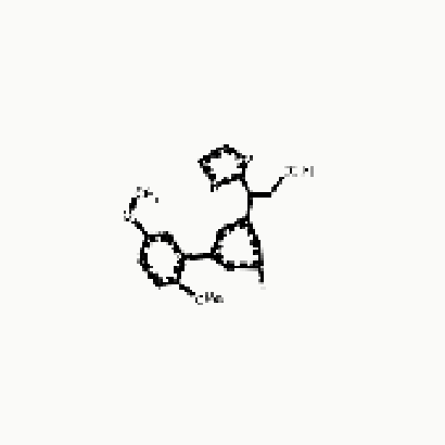 COc1ccc(OC(F)(F)F)cc1-c1cc(F)cc(C(CC(=O)O)c2ncco2)c1